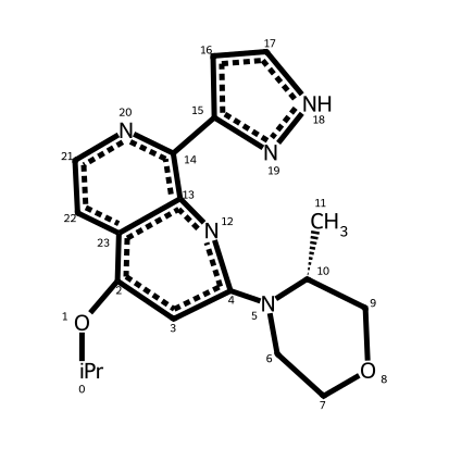 CC(C)Oc1cc(N2CCOC[C@H]2C)nc2c(-c3cc[nH]n3)nccc12